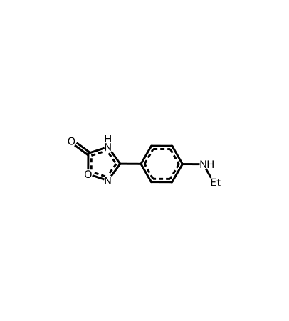 CCNc1ccc(-c2noc(=O)[nH]2)cc1